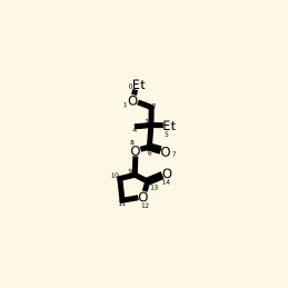 CCOCC(C)(CC)C(=O)OC1CCOC1=O